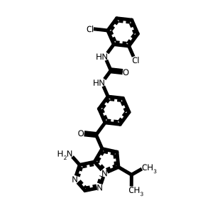 CC(C)c1cc(C(=O)c2cccc(NC(=O)Nc3c(Cl)cccc3Cl)c2)c2c(N)ncnn12